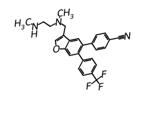 CNCCN(C)Cc1coc2cc(-c3ccc(C(F)(F)F)cc3)c(-c3ccc(C#N)cc3)cc12